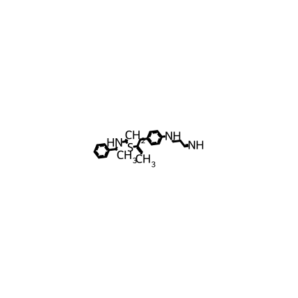 C=C(NC(C)c1ccccc1)S/C(=C\C)Cc1ccc(NCCC=N)cc1